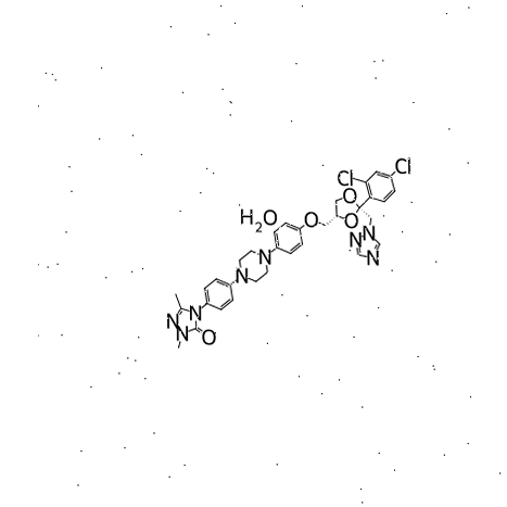 Cc1nn(C)c(=O)n1-c1ccc(N2CCN(c3ccc(OC[C@@H]4CO[C@@](Cn5cncn5)(c5ccc(Cl)cc5Cl)O4)cc3)CC2)cc1.O